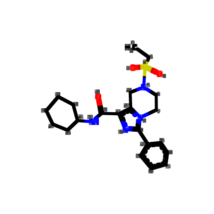 CCS(=O)(=O)N1CCn2c(-c3ccccc3)nc(C(=O)NC3CCCCC3)c2C1